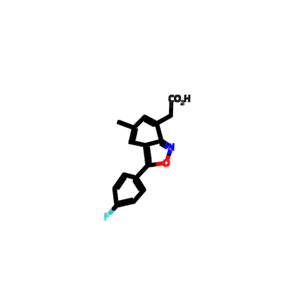 Cc1cc(CC(=O)O)c2noc(-c3ccc(F)cc3)c2c1